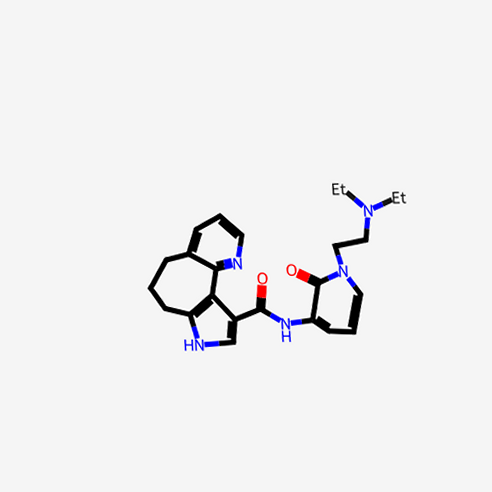 CCN(CC)CCn1cccc(NC(=O)c2c[nH]c3c2-c2ncccc2CCC3)c1=O